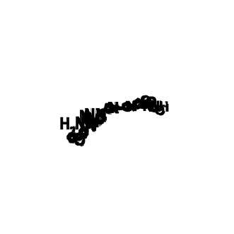 Nc1ncnc2c1c(-c1ccc(Oc3ccccc3)cc1)nn2[C@@H]1CCCN(CC2CCN(CCC3CCN(c4ccc5c(c4)CN(C4CCC(=O)NC4=O)C5=O)CC3)CC2)C1